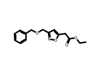 CCOC(=O)Cc1cc(COCc2ccccc2)no1